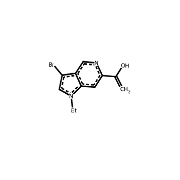 C=C(O)c1cc2c(cn1)c(Br)cn2CC